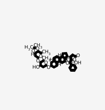 CC1O[C@@H](O[C@H]2CC[C@@]3(C)[C@H](CC[C@@H]4[C@@H]3C[C@@H](O)[C@]3(C)[C@@H](C5=CC(=O)OC5Cc5ccccc5O)CC[C@]43O)C2)C[C@@H](O)C1O[C@H]1C[C@H]2OC(C)(C)OC2C(C)O1